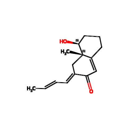 CC=CC=C1C[C@@]2(C)C(=CC1=O)CCC[C@@H]2O